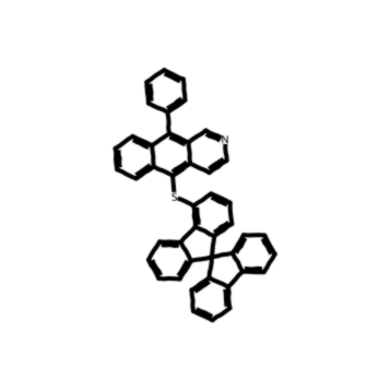 c1ccc(-c2c3ccccc3c(Sc3cccc4c3-c3ccccc3C43c4ccccc4-c4ccccc43)c3ccncc23)cc1